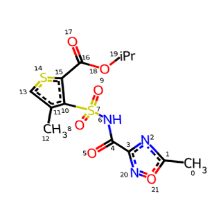 Cc1nc(C(=O)NS(=O)(=O)c2c(C)csc2C(=O)OC(C)C)no1